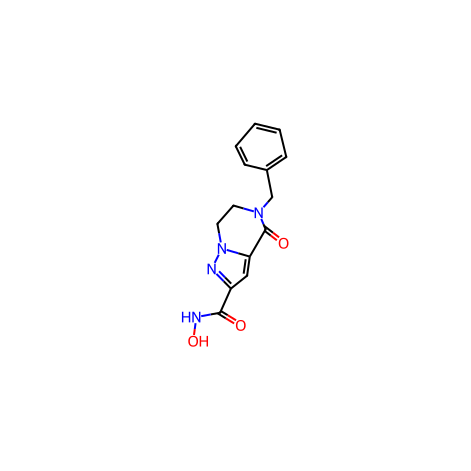 O=C(NO)c1cc2n(n1)CCN(Cc1ccccc1)C2=O